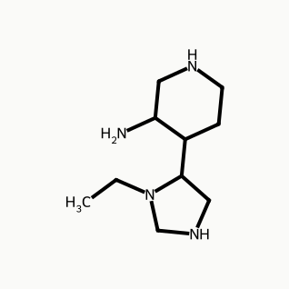 CCN1CNCC1C1CCNCC1N